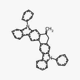 C=C1Cc2cc3c(cc2-c2cc4c5ccccc5n(-c5ccccc5)c4cc21)c1ccccc1n3-c1ccccc1